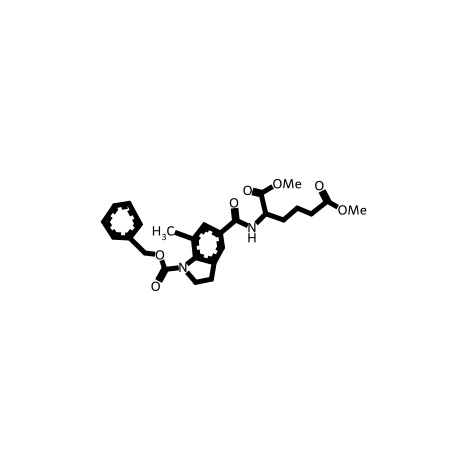 COC(=O)CCCC(NC(=O)c1cc(C)c2c(c1)CCN2C(=O)OCc1ccccc1)C(=O)OC